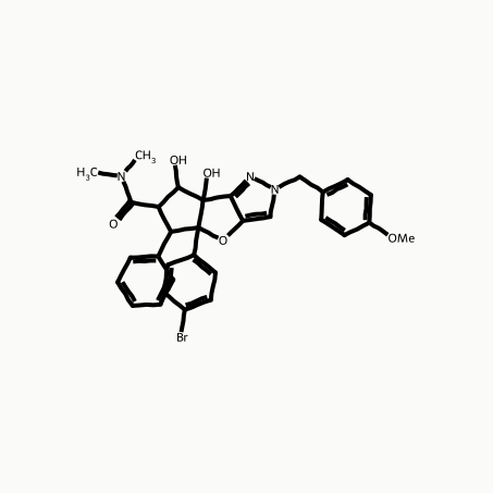 COc1ccc(Cn2cc3c(n2)C2(O)C(O)C(C(=O)N(C)C)C(c4ccccc4)C2(c2ccc(Br)cc2)O3)cc1